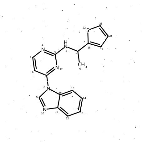 CC(Nc1nccc(-n2cnc3ccccc32)n1)c1cccs1